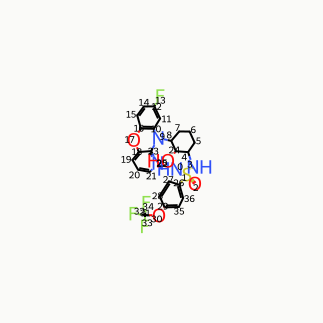 N=S(=O)(NC1CCCC(N2c3cc(F)ccc3Oc3cccnc32)C1O)c1ccc(OC(F)(F)F)cc1